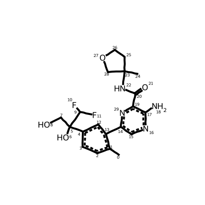 Cc1ccc(C(O)(CO)C(F)F)cc1-c1cnc(N)c(C(=O)NC2(C)CCOC2)n1